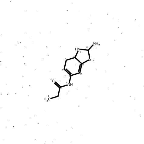 CCC(=O)NC1=CCC2NC(N)SC2=C1